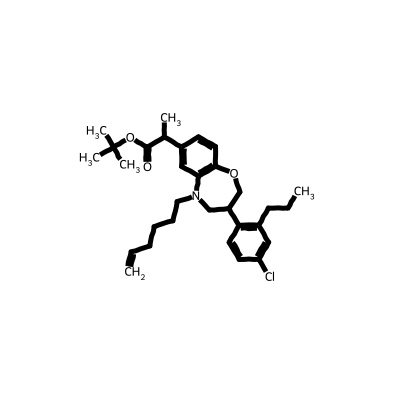 C=CCCCCN1CC(c2ccc(Cl)cc2CCC)COc2ccc(C(C)C(=O)OC(C)(C)C)cc21